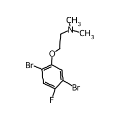 CN(C)CCOc1cc(Br)c(F)cc1Br